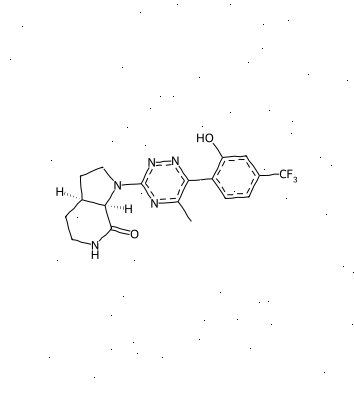 Cc1nc(N2CC[C@@H]3CCNC(=O)[C@@H]32)nnc1-c1ccc(C(F)(F)F)cc1O